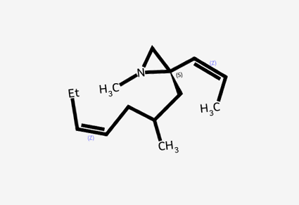 C/C=C\[C@@]1(CC(C)C/C=C\CC)CN1C